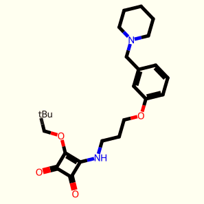 CC(C)(C)COc1c(NCCCOc2cccc(CN3CCCCC3)c2)c(=O)c1=O